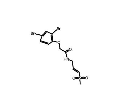 CS(=O)(=O)/C=C/CNC(=O)COc1ccc(Br)cc1Br